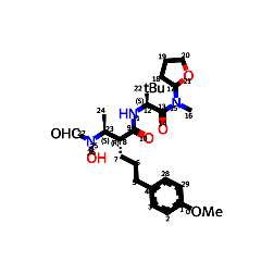 COc1ccc(CCC[C@@H](C(=O)N[C@H](C(=O)N(C)C2CCCO2)C(C)(C)C)[C@H](C)N(O)C=O)cc1